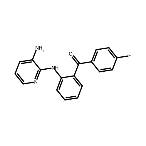 Nc1cccnc1Nc1ccccc1C(=O)c1ccc(F)cc1